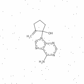 C=C1CCCC1(O)n1cnc2c(N)ncnc21